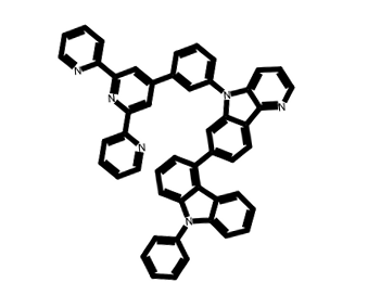 c1ccc(-n2c3ccccc3c3c(-c4ccc5c6ncccc6n(-c6cccc(-c7cc(-c8ccccn8)nc(-c8ccccn8)c7)c6)c5c4)cccc32)cc1